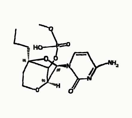 CCC[C@@]12CCO[C@@H](C1OP(=O)(O)OC)[C@H](n1ccc(N)nc1=O)O2